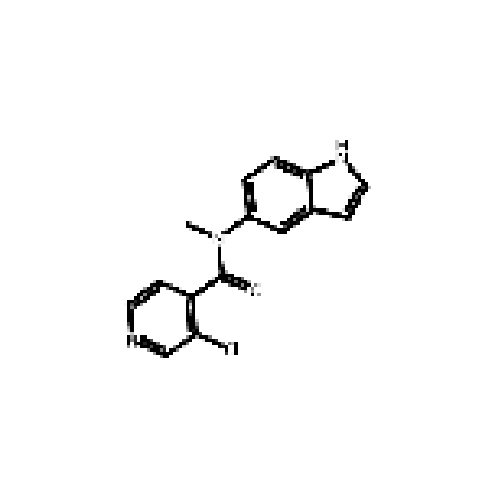 CN(C(=O)c1ccncc1Cl)c1ccc2[nH]ccc2c1